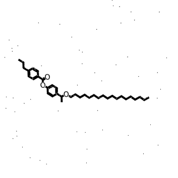 CCCCCCCCCCCCCCCCCCOC(C)c1ccc(OC(=O)c2ccc(CCC)cc2)cc1